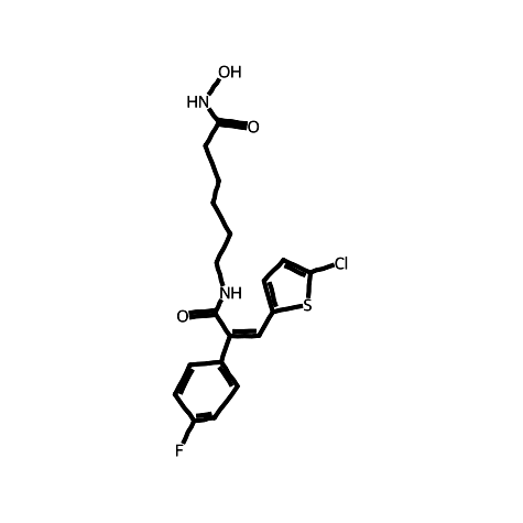 O=C(CCCCCNC(=O)C(=Cc1ccc(Cl)s1)c1ccc(F)cc1)NO